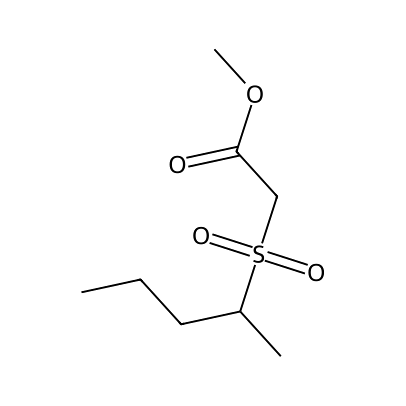 CCCC(C)S(=O)(=O)CC(=O)OC